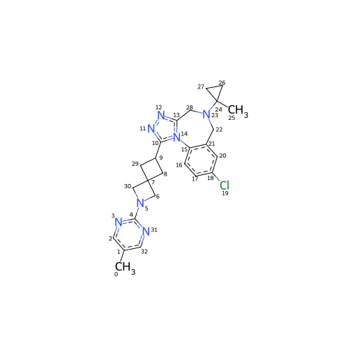 Cc1cnc(N2CC3(CC(c4nnc5n4-c4ccc(Cl)cc4CN(C4(C)CC4)C5)C3)C2)nc1